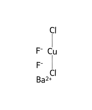 [Ba+2].[Cl][Cu][Cl].[F-].[F-]